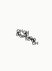 C=C(CO)C(=O)OCCOc1ccc(-c2cc(OC(=O)C(=C)CO)c(-c3ccc(OCCOC(=O)C(=C)CO)cc3)cc2CCCCCCCCCC)cc1